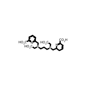 O=C(O)CN(CCCN(CC(=O)O)CC1CC=CC(C(=O)O)=N1)Cc1cccc(C(=O)O)n1